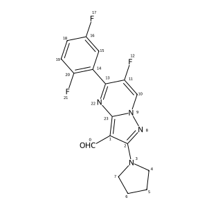 O=Cc1c(N2CCCC2)nn2cc(F)c(-c3cc(F)ccc3F)nc12